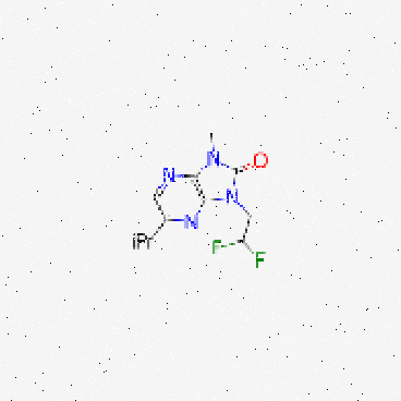 CC(C)c1cnc2c(n1)n(CC(F)F)c(=O)n2C